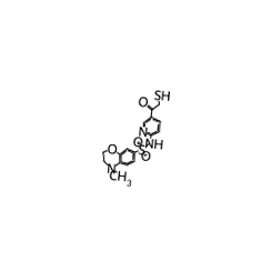 CN1CCOc2cc(S(=O)(=O)Nc3ccc(C(=O)CS)cn3)ccc21